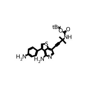 CC(C)(C#Cc1cnc(N)c2c(-c3ccc(N)cc3)csc12)NC(=O)OC(C)(C)C